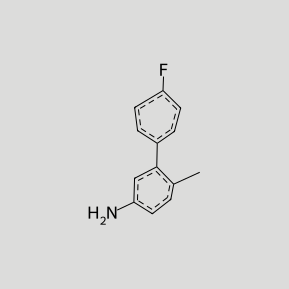 Cc1ccc(N)cc1-c1ccc(F)cc1